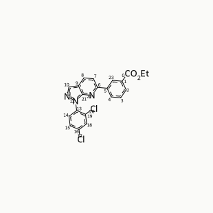 CCOC(=O)c1cccc(-c2ccc3cnn(-c4ccc(Cl)cc4Cl)c3n2)c1